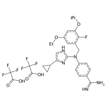 CCOc1cc(CN(c2ccc(C(=N)N)cc2)c2nc(C3CC3)c[nH]2)c(F)c(OC(C)C)c1.O=C(O)C(F)(F)F.O=C(O)C(F)(F)F